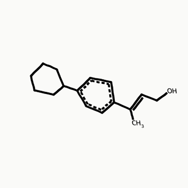 CC(=CCO)c1ccc(C2CCCCC2)cc1